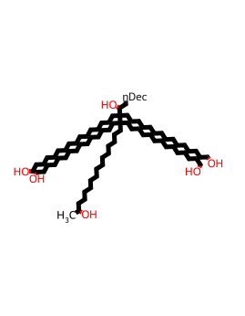 CCCCCCCCCCCC(O)C(CCCCCCCCCCCCCCCO)(CCCCCCCCCCCCCCCCO)C(CCCCCCCCCCCCCCO)(CCCCCCCCCCCCCCCO)CCCCCCCCCCCCCCC(C)O